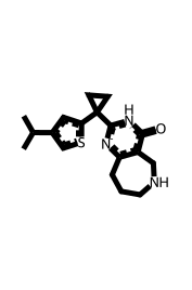 CC(C)c1csc(C2(c3nc4c(c(=O)[nH]3)CNCCC4)CC2)c1